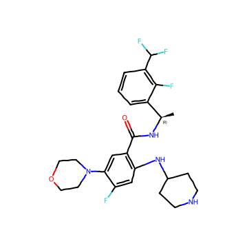 C[C@@H](NC(=O)c1cc(N2CCOCC2)c(F)cc1NC1CCNCC1)c1cccc(C(F)F)c1F